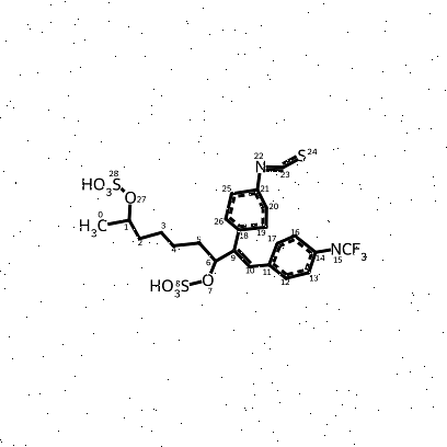 CC(CCCCC(OS(=O)(=O)O)C(=Cc1ccc(NC(F)(F)F)cc1)c1ccc(N=C=S)cc1)OS(=O)(=O)O